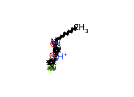 CCCCCCCCCCCc1noc(-c2ccc(C[NH+]([O-])Cc3cccc(C(F)(F)F)c3)cc2)n1